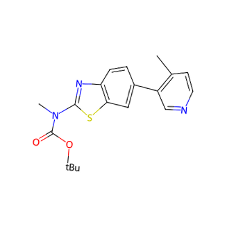 Cc1ccncc1-c1ccc2nc(N(C)C(=O)OC(C)(C)C)sc2c1